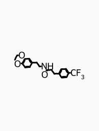 O=C(CCc1ccc(C(F)(F)F)cc1)NCCc1ccc2c(c1)OCCO2